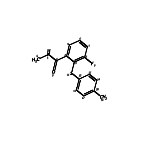 CNC(=O)c1cccc(F)c1Sc1ccc(C)cc1